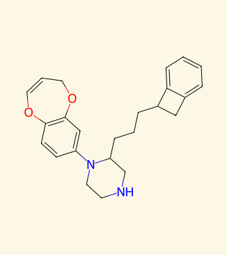 C1=COc2ccc(N3CCNCC3CCCC3Cc4ccccc43)cc2OC1